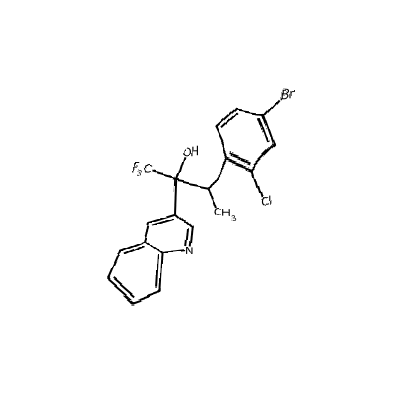 CC(c1ccc(Br)cc1Cl)C(O)(c1cnc2ccccc2c1)C(F)(F)F